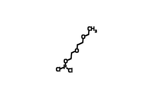 CCOCCOCCOP(Cl)Cl